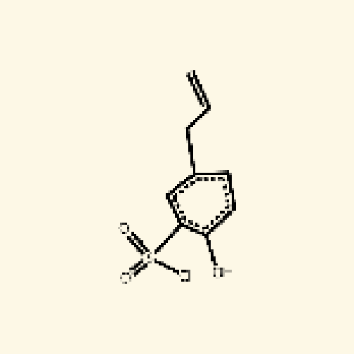 C=CCc1ccc(O)c(S(=O)(=O)Cl)c1